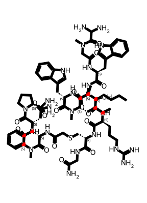 CCCC[C@@H](C(=O)N(C)[C@@H](CCCC)C(=O)N[C@@H](CCCNC(=N)N)C(=O)N[C@@H](CSCC(=O)N[C@@H](Cc1ccccc1)C(=O)N(C)[C@@H](C)C(=O)N[C@@H](CC(N)=O)C(=O)N1CCC[C@H]1C(N)=O)C(=O)NCC(N)=O)N(C)C(=O)[C@H](Cc1c[nH]c2ccccc12)NC(=O)[C@H](CO)NC(=O)[C@H](Cc1c[nH]c2ccccc12)NC(=O)CN(C)C(=O)C(N)N